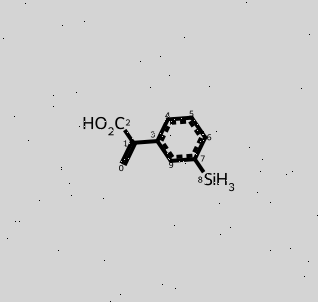 C=C(C(=O)O)c1cccc([SiH3])c1